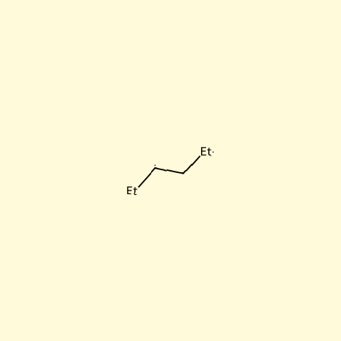 [CH2]C[CH]C[CH]C